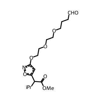 COC(=O)C(c1cc(OCCOCCOCCCC=O)no1)C(C)C